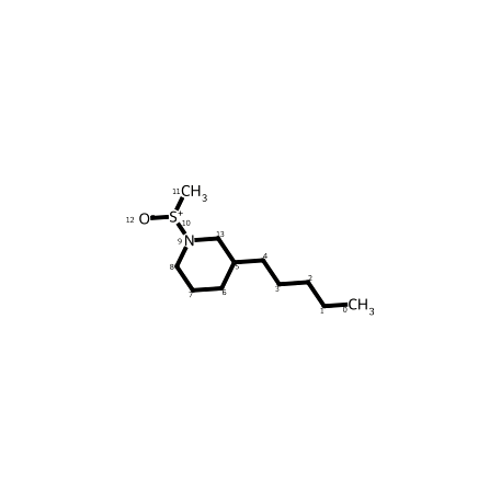 CCCCCC1CCCN([S+](C)[O-])C1